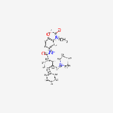 CN1C(=O)COc2ccc(NC(=O)c3ccc(-c4ccccc4)c(CN4CCCCC4)c3)cc21